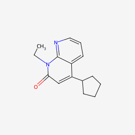 CCn1c(=O)cc(C2CCCC2)c2cccnc21